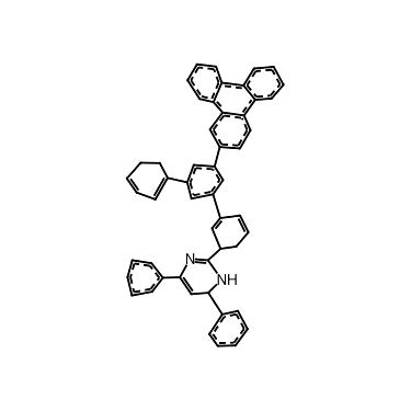 C1=CCCC(c2cc(C3=CC(C4=NC(c5ccccc5)=CC(c5ccccc5)N4)CC=C3)cc(-c3ccc4c5ccccc5c5ccccc5c4c3)c2)=C1